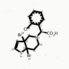 O=C(O)[C@H](c1ccccc1Cl)N1CCC2(Br)SC=CC2(Br)C1